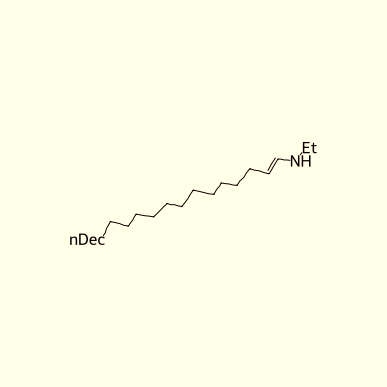 CCCCCCCCCCCCCCCCCCCCCC=CNCC